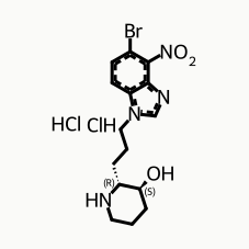 Cl.Cl.O=[N+]([O-])c1c(Br)ccc2c1ncn2CCC[C@H]1NCCC[C@@H]1O